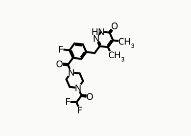 Cc1c(Cc2ccc(F)c(C(=O)N3CCN(C(=O)C(F)F)CC3)c2)n[nH]c(=O)c1C